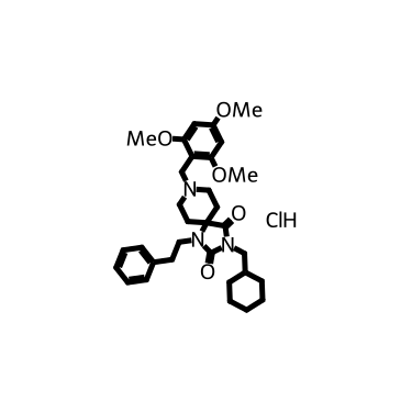 COc1cc(OC)c(CN2CCC3(CC2)C(=O)N(CC2CCCCC2)C(=O)N3CCc2ccccc2)c(OC)c1.Cl